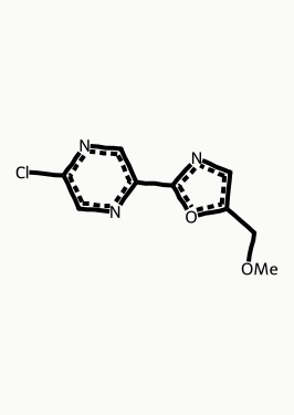 COCc1cnc(-c2cnc(Cl)cn2)o1